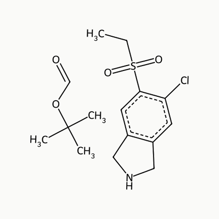 CC(C)(C)OC=O.CCS(=O)(=O)c1cc2c(cc1Cl)CNC2